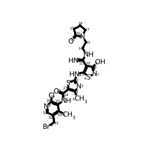 Cc1nc(Nc2snc(O)c2C(=N)NCCN2CCCC2=O)sc1C(=O)Nc1c(Cl)ncc(CBr)c1C